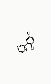 Clc1ccc(Cl)c(-c2cnccn2)c1